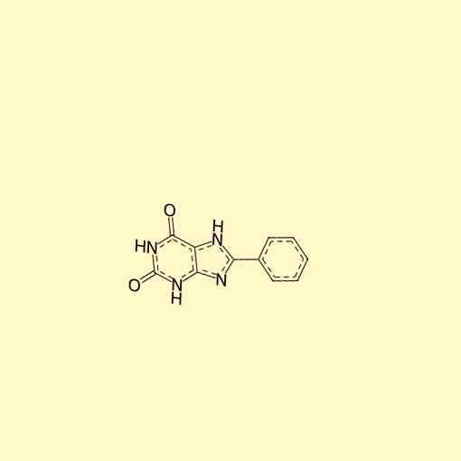 O=c1[nH]c(=O)c2[nH]c(-c3ccccc3)nc2[nH]1